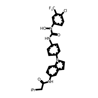 CC(C)CC(=O)Nc1ccc2c(ccn2-c2ccc(NC(=O)N(O)c3ccc(Cl)c(C(F)(F)F)c3)cc2)c1